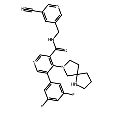 N#Cc1cncc(CNC(=O)c2cncc(-c3cc(F)cc(F)c3)c2N2CCC3(CCCN3)C2)c1